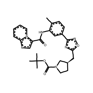 Cc1ccc(-c2noc(C[C@H]3CCN(C(=O)OC(C)(C)C)C3)n2)cc1NC(=O)c1cnc2ccccn12